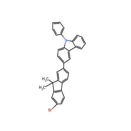 CC1(C)c2cc(Br)ccc2-c2ccc(-c3ccc4c(c3)c3ccccc3n4-c3ccccc3)cc21